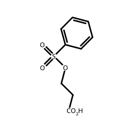 O=C(O)CCOS(=O)(=O)c1ccccc1